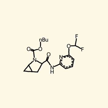 CCCCOC(=O)N1C(C(=O)Nc2cccc(OC(F)F)n2)CC2CC21